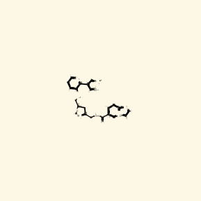 Cn1cc(-c2ncccc2OCC2CC(CNC(=O)c3ccc4nccn4c3)=NO2)cn1